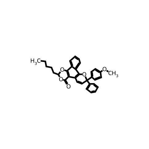 CCCCCC1OC(=O)c2c3c(c4ccccc4c2O1)OC(c1ccccc1)(c1ccc(OC)cc1)C=C3